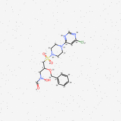 O=CN(O)CC(CS(=O)(=O)N1CCN(c2cc(Cl)ncn2)CC1)OCc1ccccc1